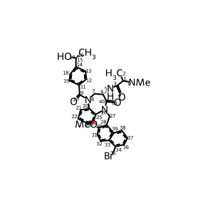 CNC(C)C(=O)N[C@H]1CN(C(=O)c2ccc([C@H](C)O)cc2)c2ccccc2N(Cc2c(OC)ccc3c(Br)cccc23)C1=O